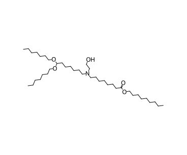 CCCCCCCCCOC(=O)CCCCCCCN(CCO)CCCCCCC(OCCCCCCC)OCCCCCCC